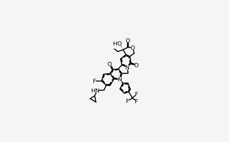 CC[C@@]1(O)C(=O)OCc2c1cc1n(c2=O)Cc2c-1c(=O)c1cc(F)c(CNC3CC3)cc1n2-c1ccc(C(F)(F)F)cc1